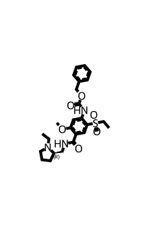 CCN1CCC[C@@H]1CNC(=O)c1cc(S(=O)(=O)CC)c(NC(=O)OCc2ccccc2)cc1OC